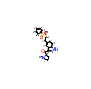 CN1CCCC1C(=O)c1c[nH]c2ccc(CCS(=O)(=O)c3ccccc3)cc12